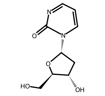 O=c1ncccn1[C@@H]1C[C@H](O)[C@@H](CO)O1